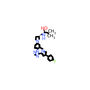 CC(C)[C@H](CO)NC[C@H]1CCN(c2ccc3c(c2)Cn2cc(-c4ccc(F)cc4)cc2-c2ncnn2-3)C1